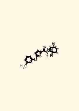 Cc1cccc(Oc2ccc(C(=O)N[C@@H]3C[C@H]4CC[C@@H]3N4)s2)c1